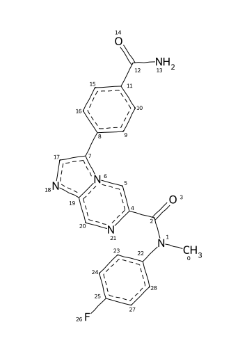 CN(C(=O)c1cn2c(-c3ccc(C(N)=O)cc3)cnc2cn1)c1ccc(F)cc1